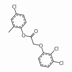 Cc1cc(Cl)ccc1OC(=O)COc1cccc(Cl)c1Cl